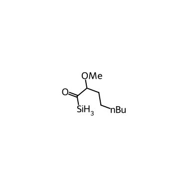 CCCCCCC(OC)C(=O)[SiH3]